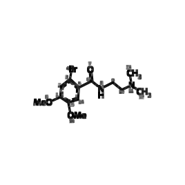 COc1cc(Br)c(C(=O)NCCN(C)C)cc1OC